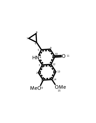 COc1cc2[nH]c(C3CC3)cc(=O)c2cc1OC